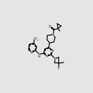 CC1(C(=O)N2CCC(c3cc(Nc4cc(C(F)(F)F)ccn4)nc(N4CC(F)(F)C4)n3)CC2)CC1